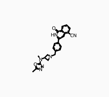 Cc1nnc(N(C)C2CN(Cc3ccc(-c4cc5c(C#N)cccc5c(=O)[nH]4)cc3)C2)o1